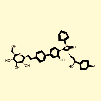 O=C1[C@H](CC[C@H](O)c2ccc(F)cc2)[C@@H](c2ccc(-c3ccc(CC[C@@H]4O[C@H](CO)[C@@H](O)[C@H](O)[C@H]4O)cc3)cc2O)N1c1ccccc1